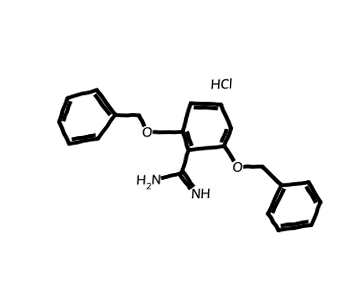 Cl.N=C(N)c1c(OCc2ccccc2)cccc1OCc1ccccc1